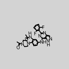 CC(=O)Nc1cc(Nc2nc(-c3c(F)cccc3F)nc3cn[nH]c23)ccc1N1CCN(C(C)=O)CC1